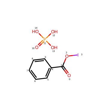 O=C(OI)c1ccccc1.O=P(O)(O)O